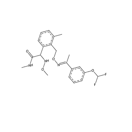 CNC(=O)C(NOC)c1cccc(C)c1CO/N=C(\C)c1cccc(OC(F)F)c1